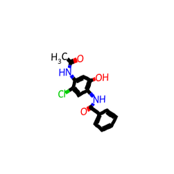 CC(=O)Nc1cc(O)c(NC(=O)c2ccccc2)cc1Cl